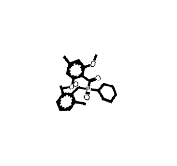 COc1cc(C)cc(OC)c1C(=O)P(=O)(C(=O)c1c(C)cccc1C)C1CCCCC1